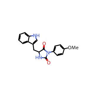 COc1ccc(N2C(=O)NC(Cc3c[nH]c4ccccc34)C2=O)cc1